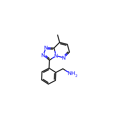 Cc1ccnn2c(-c3ccccc3CN)nnc12